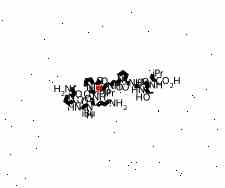 CC[C@H](C)[C@H](NC(=O)[C@@H]1CCCN1C(=O)[C@H](C)N)C(=O)N[C@@H](CCCCN)C(=O)N[C@H](C(=O)N1CCC[C@H]1C(=O)N[C@H](C(=O)NCC(=O)N1CCC[C@H]1C(=O)NCC(=O)N[C@H](C(=O)N[C@@H](CC(C)C)C(=O)O)[C@@H](C)O)C(C)C)[C@@H](C)CC